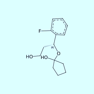 OCC[C@@H](OC1(O)CCCC1)c1ccccc1F